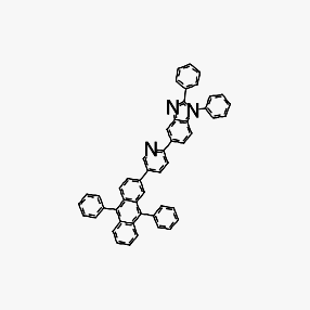 c1ccc(-c2c3ccccc3c(-c3ccccc3)c3cc(-c4ccc(-c5ccc6c(c5)nc(-c5ccccc5)n6-c5ccccc5)nc4)ccc23)cc1